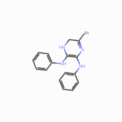 CC(C)C1=NC(Nc2ccccc2)=C(Nc2ccccc2)NC1